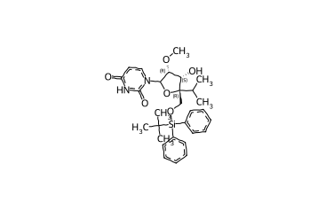 CO[C@H]1C(n2ccc(=O)[nH]c2=O)O[C@@](CO[Si](c2ccccc2)(c2ccccc2)C(C)(C)C)(C(C)C)[C@H]1O